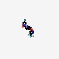 O=C(c1ccc2cc(Oc3ccc(C(F)(F)F)cn3)ccc2n1)N1CCC(F)CC1